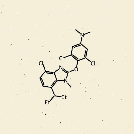 CCC(CC)c1ccc(Cl)c2nc(Oc3c(Cl)cc(N(C)C)cc3Cl)n(C)c12